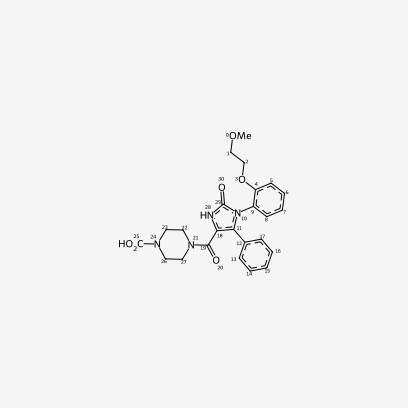 COCCOc1ccccc1-n1c(-c2ccccc2)c(C(=O)N2CCN(C(=O)O)CC2)[nH]c1=O